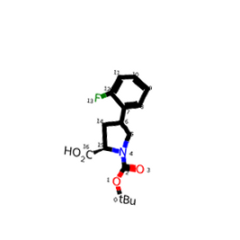 CC(C)(C)OC(=O)N1CC(c2ccccc2F)C[C@@H]1C(=O)O